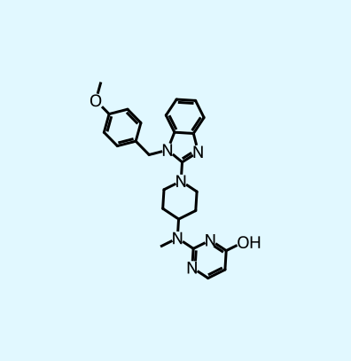 COc1ccc(Cn2c(N3CCC(N(C)c4nccc(O)n4)CC3)nc3ccccc32)cc1